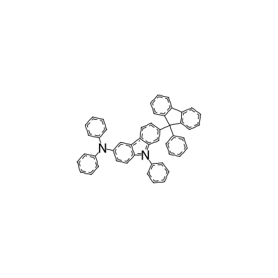 c1ccc(N(c2ccccc2)c2ccc3c(c2)c2ccc(C4(c5ccccc5)c5ccccc5-c5ccccc54)cc2n3-c2ccccc2)cc1